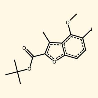 COc1c(I)ccc2oc(C(=O)OC(C)(C)C)c(C)c12